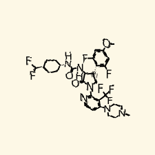 COc1cc(F)c([C@@H]2CN(c3nccc(N4CCN(C)CC4)c3C(F)(F)F)C(=O)C2NC(=O)N[C@H]2CC[C@H](C(F)F)CC2)c(F)c1